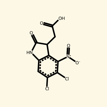 O=C(O)CC1C(=O)Nc2cc(Cl)c(Cl)c([N+](=O)[O-])c21